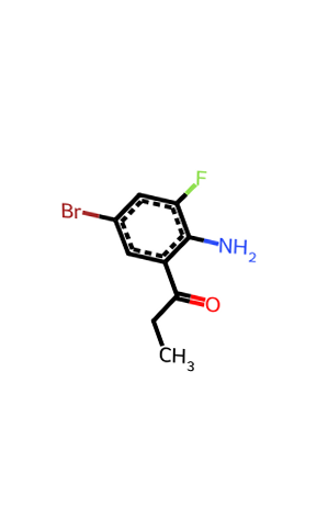 CCC(=O)c1cc(Br)cc(F)c1N